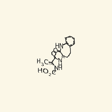 C[C@H](NC(=O)O)C(=O)N[C@H]1CCc2ccccc2NC1=O